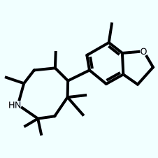 Cc1cc(C2C(C)CC(C)NC(C)(C)CC2(C)C)cc2c1OCC2